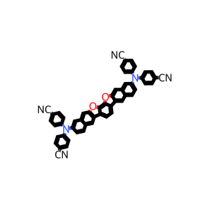 N#Cc1ccc(N(c2ccc(C#N)cc2)c2ccc3cc4c(cc3c2)oc2c4ccc3c4cc5ccc(N(c6ccc(C#N)cc6)c6ccc(C#N)cc6)cc5cc4oc32)cc1